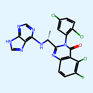 C[C@@H](Nc1ncnc2[nH]cnc12)c1nc2ccc(F)c(Cl)c2c(=O)n1-c1cc(Cl)ccc1Cl